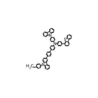 C=Cc1ccc(-n2c3ccccc3c3cc(-c4ccc(-c5ccc(N(c6ccc(-c7cccc8c7sc7ccccc78)cc6)c6ccc(-n7c8ccccc8c8ccccc87)cc6)cc5)cc4)ccc32)cc1